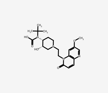 COc1cnc2ccc(=O)n(CCN3CC[C@@H](N(C(=O)O)C(C)(C)C)[C@@H](O)C3)c2c1